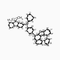 CC1(C)c2ccccc2-c2ccc(N(c3ccccc3)c3ccc(-c4cc5ccccc5c5c4oc4cccc(-c6ccncc6)c45)cc3)cc21